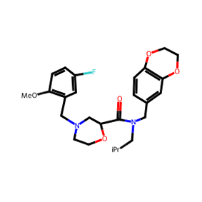 COc1ccc(F)cc1CN1CCOC(C(=O)N(Cc2ccc3c(c2)OCCO3)CC(C)C)C1